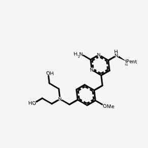 CCC[C@H](C)Nc1cc(Cc2ccc(CN(CCO)CCO)cc2OC)nc(N)n1